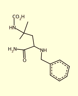 CC(C)(CC(NCc1ccccc1)C(N)=O)NC(=O)O